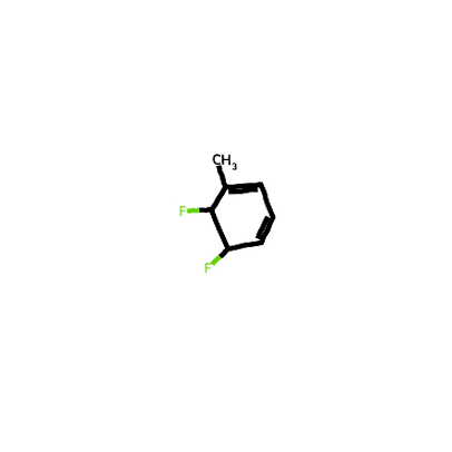 CC1=CC=CC(F)C1F